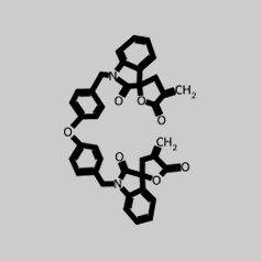 C=C1CC2(OC1=O)C(=O)N(Cc1ccc(Oc3ccc(CN4C(=O)C5(CC(=C)C(=O)O5)c5ccccc54)cc3)cc1)c1ccccc12